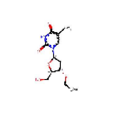 COCO[C@H]1C[C@H](n2cc(C)c(=O)[nH]c2=O)O[C@@H]1CO